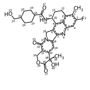 Cc1c(F)cc2nc3c(c4c2c1CC[C@@H]4NC(=O)C1CCC(CO)CC1)Cn1c-3cc2c(c1=O)COC(=O)[C@@]2(C)O